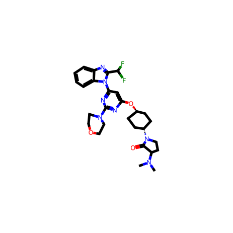 CN(C)C1CCN([C@H]2CC[C@H](Oc3cc(-n4c(C(F)F)nc5ccccc54)nc(N4CCOCC4)n3)CC2)C1=O